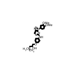 COc1ccc(-n2nnc3cnc(Nc4ccc(OCC(O)CN(C)C)cc4)nc32)cc1OC